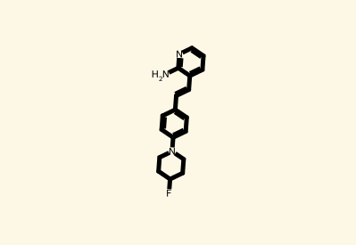 Nc1ncccc1/C=C/c1ccc(N2CCC(F)CC2)cc1